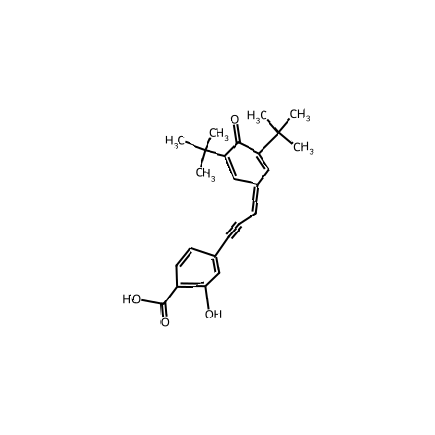 CC(C)(C)C1=CC(=CC#Cc2ccc(C(=O)O)c(O)c2)C=C(C(C)(C)C)C1=O